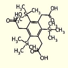 C[Si](C)(C)c1c(CC(=O)O)c([Si](C)(C)C)c(CC(=O)O)c([Si](C)(C)C)c1CC(=O)O